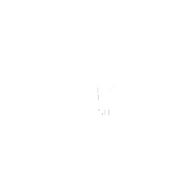 C=CC[PH](N)=O